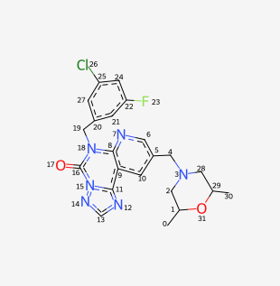 CC1CN(Cc2cnc3c(c2)c2ncnn2c(=O)n3Cc2cc(F)cc(Cl)c2)CC(C)O1